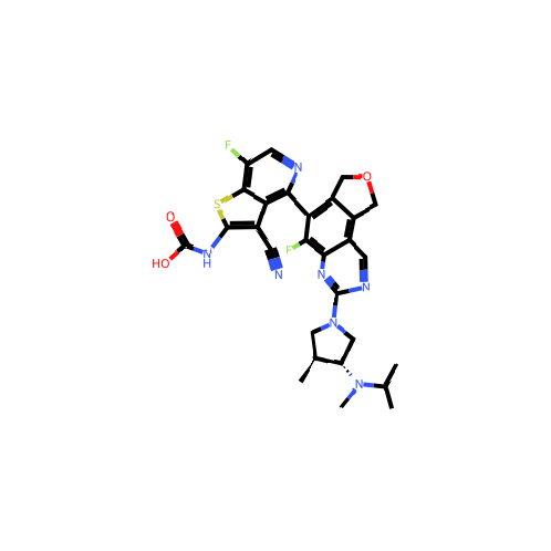 CC(C)N(C)[C@H]1CN(c2ncc3c4c(c(-c5ncc(F)c6sc(NC(=O)O)c(C#N)c56)c(F)c3n2)COC4)C[C@@H]1C